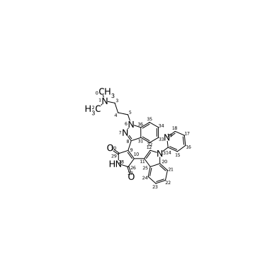 CN(C)CCCn1nc(C2=C(c3cn(-c4ccccn4)c4ccccc34)C(=O)NC2=O)c2ccccc21